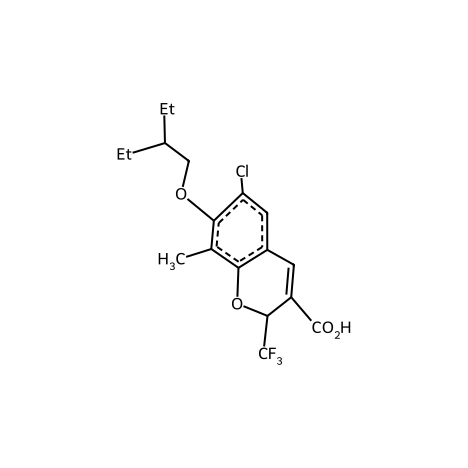 CCC(CC)COc1c(Cl)cc2c(c1C)OC(C(F)(F)F)C(C(=O)O)=C2